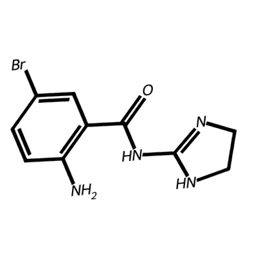 Nc1ccc(Br)cc1C(=O)NC1=NCCN1